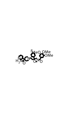 COc1cc(C(=O)N2COC(CCN3CCC(C(N)=O)(c4cccnc4)CC3)(c3ccc(F)cc3)C2)cc(OC)c1OC